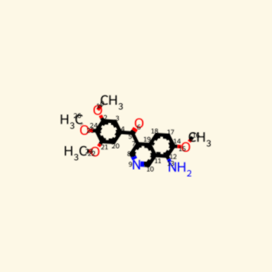 COc1cc(C(=O)c2cncc3c(N)c(OC)ccc23)cc(OC)c1OC